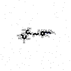 C/C=C(C)/C=C/C1=C(C)C(=O)C(OC(=O)CCC(=O)OCC2OC(O)C(O)C(O)C2OC2OC(CO)C(O)C(O)C2O)CC1(C)C